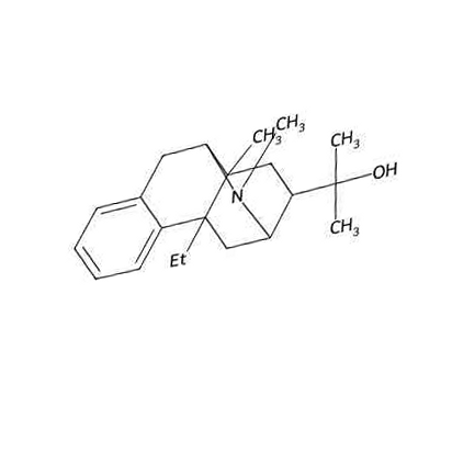 CCC12CC3C(C(C)(C)O)CC1(C)C(Cc1ccccc12)N3C